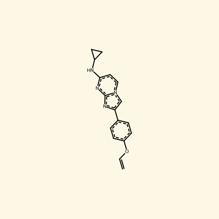 C=COc1ccc(-c2cn3ccc(NC4CC4)nc3n2)cc1